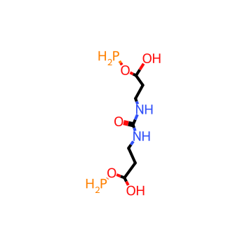 O=C(NCCC(O)OP)NCCC(O)OP